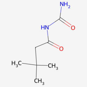 CC(C)(C)CC(=O)NC(N)=O